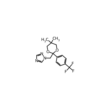 CC1(C)COC(Cn2cncn2)(c2ccc(C(F)(F)F)cc2)OC1